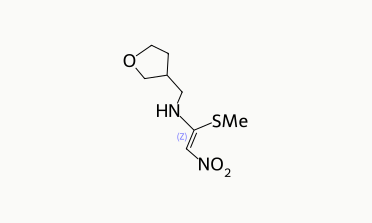 CS/C(=C\[N+](=O)[O-])NCC1CCOC1